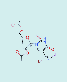 CC(=O)OC[C@@H]1C[C@@H](OC(C)=O)[C@H](n2cc(/C(Br)=C\I)c(=O)[nH]c2=O)O1